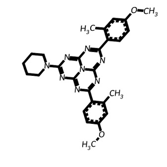 COc1ccc(C2=NC3=NC(c4ccc(OC)cc4C)=NC4=NC(N5CCCCC5)=NC(=N2)N34)c(C)c1